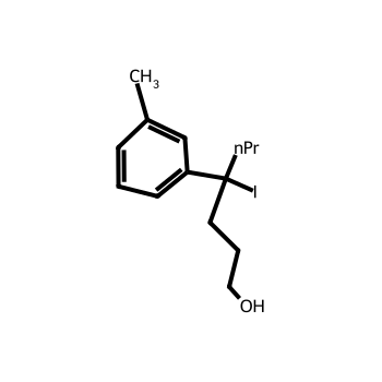 CCCC(I)(CCCO)c1cccc(C)c1